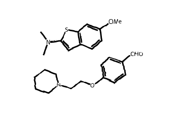 COc1ccc2cc(N(C)C)sc2c1.O=Cc1ccc(OCCN2CCCCC2)cc1